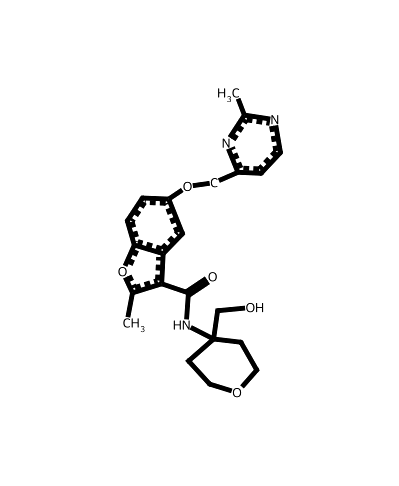 Cc1nccc(COc2ccc3oc(C)c(C(=O)NC4(CO)CCOCC4)c3c2)n1